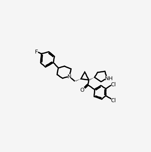 O=C(c1ccc(Cl)c(Cl)c1)C1([C@@H]2CCNC2)C[C@H]1CN1CCC(c2ccc(F)cc2)CC1